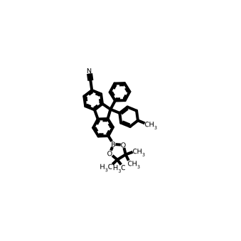 CC1C=CC(C2(c3ccccc3)c3cc(C#N)ccc3-c3ccc(B4OC(C)(C)C(C)(C)O4)cc32)=CC1